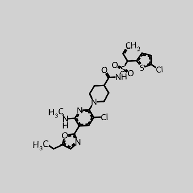 C=CC(c1ccc(Cl)s1)S(=O)(=O)NC(=O)C1CCN(c2nc(NC)c(-c3ncc(CC)o3)cc2Cl)CC1